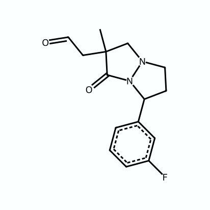 CC1(CC=O)CN2CCC(c3cccc(F)c3)N2C1=O